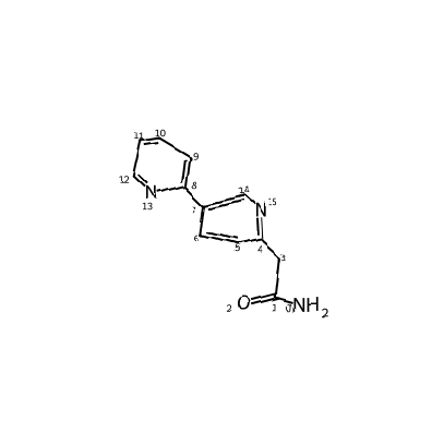 NC(=O)Cc1ccc(-c2ccccn2)cn1